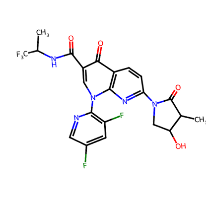 CC1C(=O)N(c2ccc3c(=O)c(C(=O)NC(C)C(F)(F)F)cn(-c4ncc(F)cc4F)c3n2)CC1O